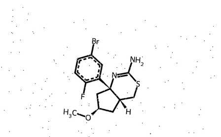 CO[C@@H]1C[C@H]2CSC(N)=N[C@@]2(c2cc(Br)ccc2F)C1